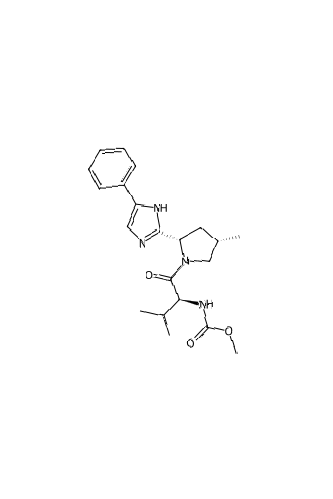 COC(=O)N[C@H](C(=O)N1C[C@@H](C)C[C@H]1c1ncc(-c2ccccc2)[nH]1)C(C)C